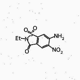 CCN1C(=O)c2cc([N+](=O)[O-])c(N)cc2S1(=O)=O